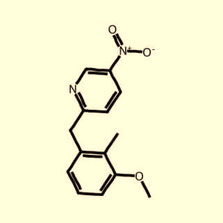 COc1cccc(Cc2ccc([N+](=O)[O-])cn2)c1C